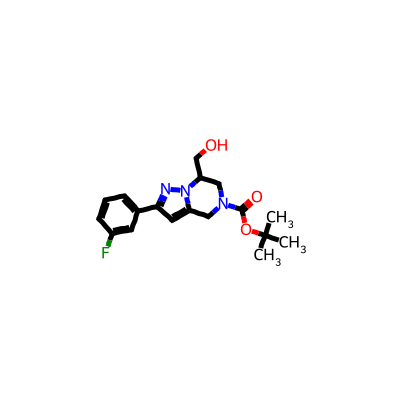 CC(C)(C)OC(=O)N1Cc2cc(-c3cccc(F)c3)nn2C(CO)C1